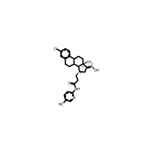 C[C@]12CCC3c4ccc(Cl)cc4CCC3C1[C@H](CCC(=O)Nc1ccc(C#N)cn1)C/C2=N\O